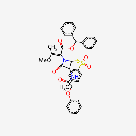 COC(C)=C(C(=O)OC(c1ccccc1)c1ccccc1)N1C(=O)C(NC(=O)COc2ccccc2)C1SS(=O)(=O)c1ccc(C)cc1